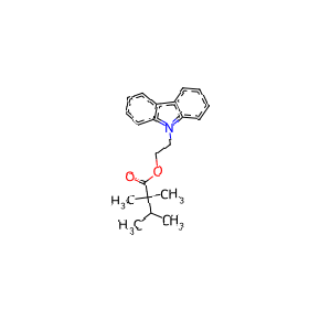 CC(C)C(C)(C)C(=O)OCCn1c2ccccc2c2ccccc21